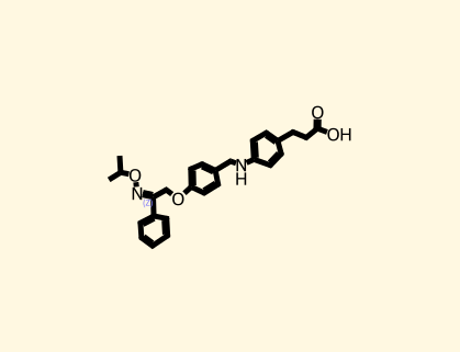 CC(C)O/N=C(\COc1ccc(CNc2ccc(CCC(=O)O)cc2)cc1)c1ccccc1